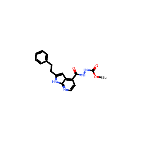 CC(C)(C)OC(=O)NNC(=O)c1ccnc2[nH]c(CCc3ccccc3)cc12